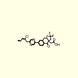 C=C/C=C(/Cl)Cc1cnc(-c2ccc3c(c2)CCC(CC(=O)O)(CC(F)(F)F)C3=O)cn1